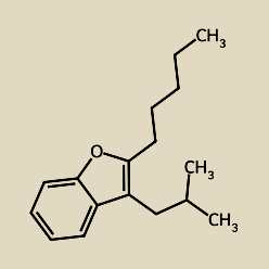 CCCCCc1oc2ccccc2c1CC(C)C